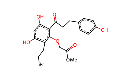 COC(=O)COc1c(CCC(C)C)c(O)cc(O)c1C(=O)CCc1ccc(O)cc1